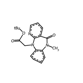 CN1C(=O)c2cccnc2N(CC(=O)OC(C)(C)C)c2ccccc21